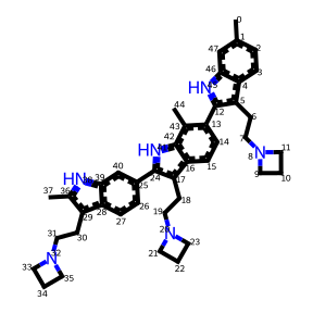 Cc1ccc2c(CCN3CCC3)c(-c3ccc4c(CCN5CCC5)c(-c5ccc6c(CCN7CCC7)c(C)[nH]c6c5)[nH]c4c3C)[nH]c2c1